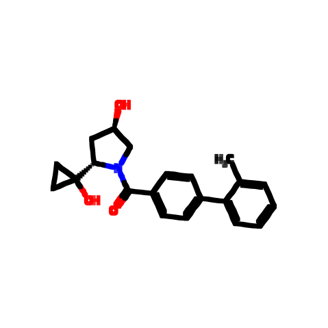 Cc1ccccc1-c1ccc(C(=O)N2C[C@H](O)C[C@H]2C2(O)CC2)cc1